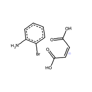 Nc1ccccc1Br.O=C(O)/C=C\C(=O)O